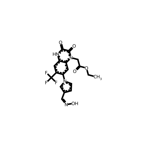 CCOC(=O)Cn1c(=O)c(=O)[nH]c2cc(C(F)(F)F)c(-n3ccc(/C=N\O)c3)cc21